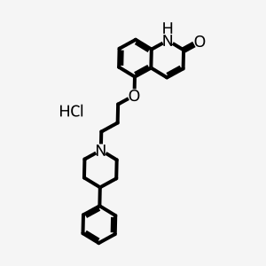 Cl.O=c1ccc2c(OCCCN3CCC(c4ccccc4)CC3)cccc2[nH]1